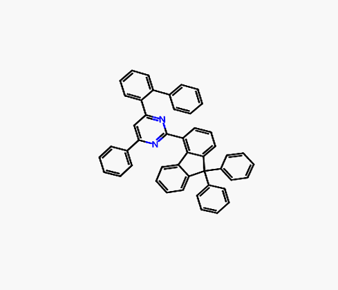 c1ccc(-c2cc(-c3ccccc3-c3ccccc3)nc(-c3cccc4c3-c3ccccc3C4(c3ccccc3)c3ccccc3)n2)cc1